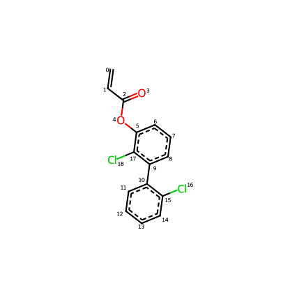 C=CC(=O)Oc1cccc(-c2ccccc2Cl)c1Cl